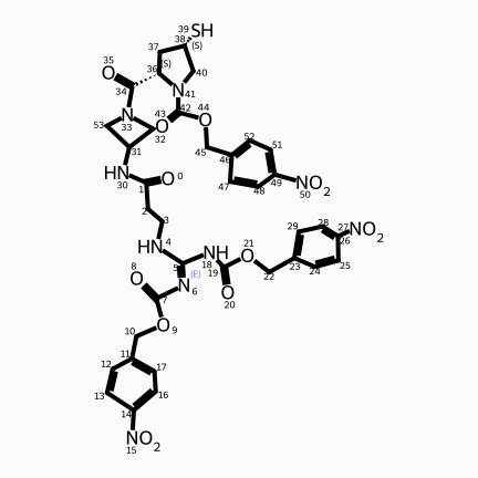 O=C(CCN/C(=N\C(=O)OCc1ccc([N+](=O)[O-])cc1)NC(=O)OCc1ccc([N+](=O)[O-])cc1)NC1CN(C(=O)[C@@H]2C[C@H](S)CN2C(=O)OCc2ccc([N+](=O)[O-])cc2)C1